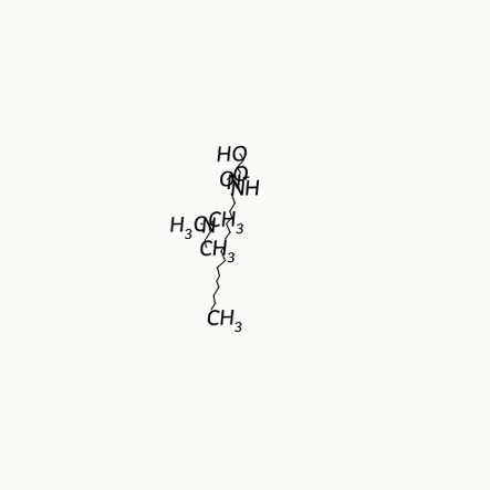 CCCCCCCCCCCCCCCCCCN[N+](=O)OCCO.CCCN(C)C